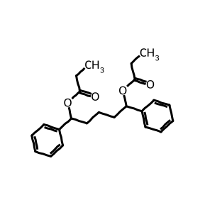 CCC(=O)OC(CCCC(OC(=O)CC)c1ccccc1)c1ccccc1